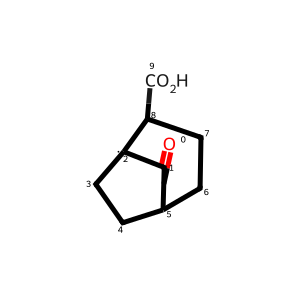 O=C1[C]2CCC1CCC2C(=O)O